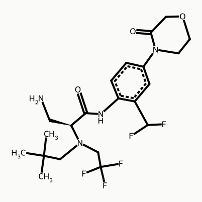 CC(C)(C)CN(CC(F)(F)F)[C@@H](CN)C(=O)Nc1ccc(N2CCOCC2=O)cc1C(F)F